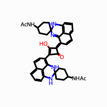 CC(=O)NC1CCC2(CC1)N=c1/c(=C3/C(=O)C(c4ccc5cccc6c5c4NC4(CCC(NC(C)=O)CC4)N6)=C3O)ccc3cccc(c13)N2